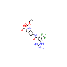 CC(C)COC(=O)N[C@@H](Cc1ccc(NC(=O)c2cc(NC(=N)N)cc(C(F)(F)F)c2)cc1)C(=O)O